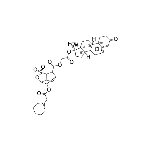 CC1(OC(=O)COC(=O)C2C3CC4C(OS(=O)(=O)C42)C3OC(=O)CN2CCCCC2)CC[C@H]2C3CCC4=CC(=O)CC[C@]4(C)[C@H]3CC[C@@]21C